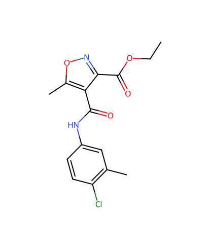 CCOC(=O)c1noc(C)c1C(=O)Nc1ccc(Cl)c(C)c1